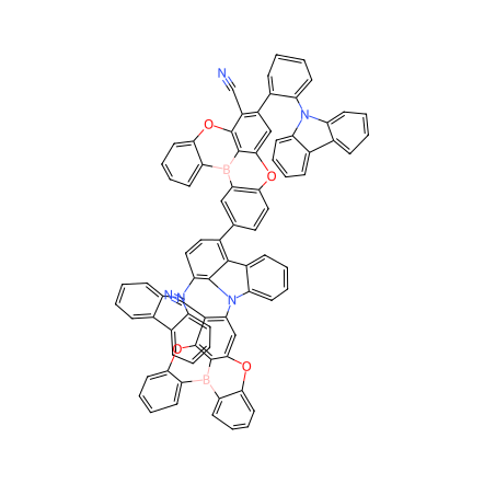 N#Cc1c(-c2ccccc2-n2c3ccccc3c3ccccc32)cc2c3c1Oc1ccccc1B3c1cc(-c3ccc(-n4c5ccccc5c5ccccc54)c4c3c3ccccc3n4-c3cc4c5c(c3C#N)Oc3ccccc3B5c3ccccc3O4)ccc1O2